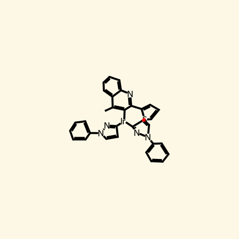 Cc1[c]([Ir]([c]2ccn(-c3ccccc3)n2)[c]2ccn(-c3ccccc3)n2)c(-c2cccs2)nc2ccccc12